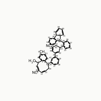 Cc1ccc2c(c1)C(C)/C=C(C#N)\C=C/CN2c1cccc(C2=CC(c3ccccc3N3c4ccccc4C4C=CC=CC43)CC(C#N)=C2)c1